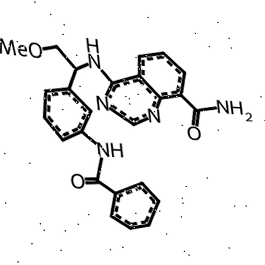 COCC(Nc1ncnc2c(C(N)=O)cccc12)c1cccc(NC(=O)c2ccccc2)c1